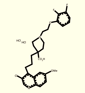 COc1ccc2ncc(Cl)c(CCCC3(C(=O)O)CCN(CCOc4cccc(F)c4F)CC3)c2c1.Cl.Cl